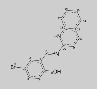 Oc1ccc(Br)cc1C=Nc1ccc2ccccc2n1